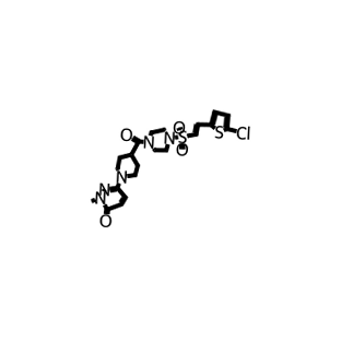 Cn1nc(N2CCC(C(=O)N3CCN(S(=O)(=O)C=Cc4ccc(Cl)s4)CC3)CC2)ccc1=O